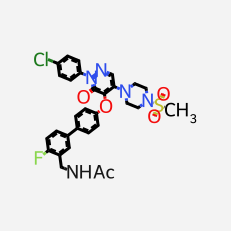 CC(=O)NCc1cc(-c2ccc(Oc3c(N4CCN(S(C)(=O)=O)CC4)cnn(-c4ccc(Cl)cc4)c3=O)cc2)ccc1F